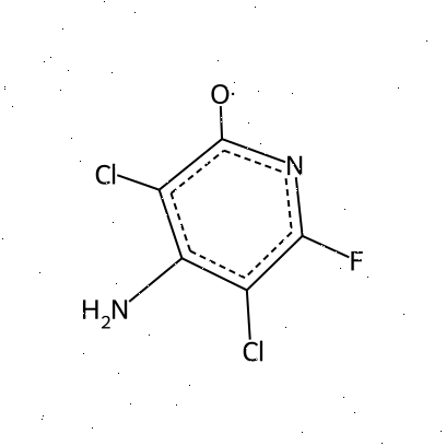 Nc1c(Cl)c([O])nc(F)c1Cl